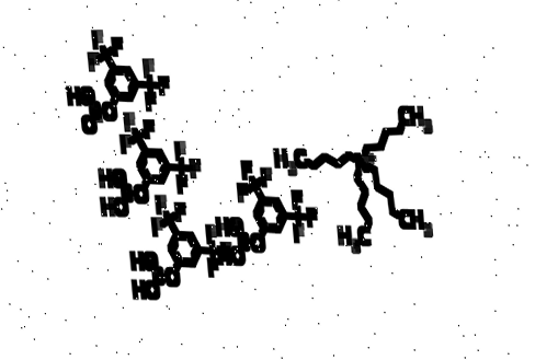 CCCCC[N+](CCCCC)(CCCCC)CCCCC.OB(O)Oc1cc(C(F)(F)F)cc(C(F)(F)F)c1.OB(O)Oc1cc(C(F)(F)F)cc(C(F)(F)F)c1.OB(O)Oc1cc(C(F)(F)F)cc(C(F)(F)F)c1.[O-]B(O)Oc1cc(C(F)(F)F)cc(C(F)(F)F)c1